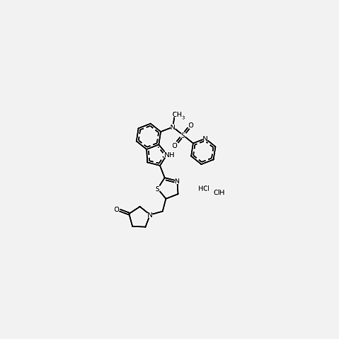 CN(c1cccc2cc(C3=NCC(CN4CCC(=O)C4)S3)[nH]c12)S(=O)(=O)c1ccccn1.Cl.Cl